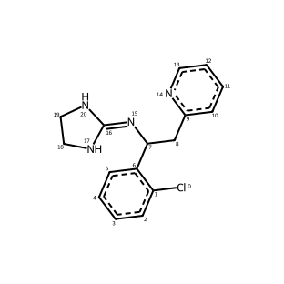 Clc1ccccc1C(Cc1ccccn1)N=C1NCCN1